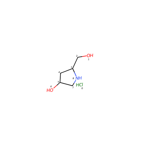 Cl.OCC1CC(O)CN1